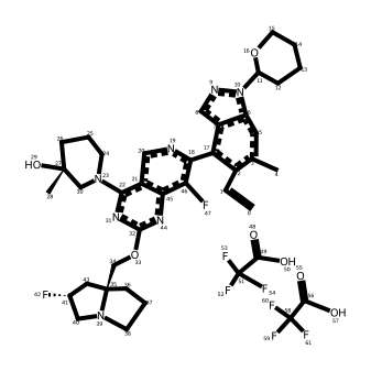 C=Cc1c(C)cc2c(cnn2C2CCCCO2)c1-c1ncc2c(N3CCC[C@@](C)(O)C3)nc(OC[C@@]34CCCN3C[C@H](F)C4)nc2c1F.O=C(O)C(F)(F)F.O=C(O)C(F)(F)F